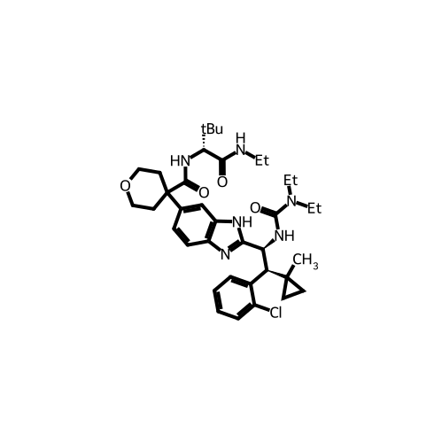 CCNC(=O)[C@H](NC(=O)C1(c2ccc3nc([C@@H](NC(=O)N(CC)CC)[C@H](c4ccccc4Cl)C4(C)CC4)[nH]c3c2)CCOCC1)C(C)(C)C